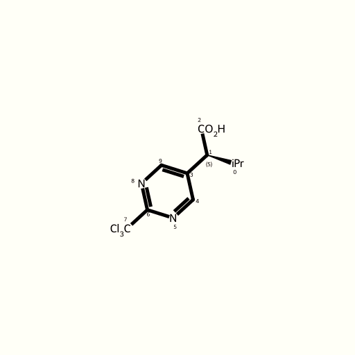 CC(C)[C@H](C(=O)O)c1cnc(C(Cl)(Cl)Cl)nc1